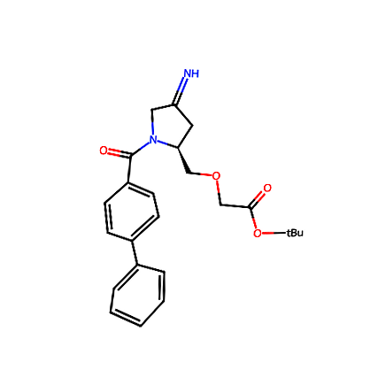 CC(C)(C)OC(=O)COC[C@@H]1CC(=N)CN1C(=O)c1ccc(-c2ccccc2)cc1